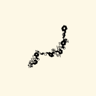 CC(C)n1cnnc1-c1cccc(NC(=O)c2cc3c(cc2F)ncn3CCOCc2cccc(-c3nnc(-c4cccc(NC(=O)c5cc6ncn(CCOCc7ccccc7)c6cc5F)n4)n3C(C)C)c2)n1